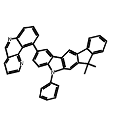 CC1(C)c2ccccc2-c2cc3c4cc(-c5cccc6ncc7cccnc7c56)ccc4n(-c4ccccc4)c3cc21